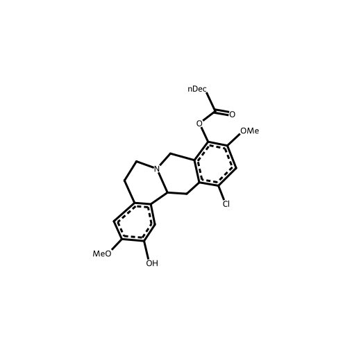 CCCCCCCCCCC(=O)Oc1c(OC)cc(Cl)c2c1CN1CCc3cc(OC)c(O)cc3C1C2